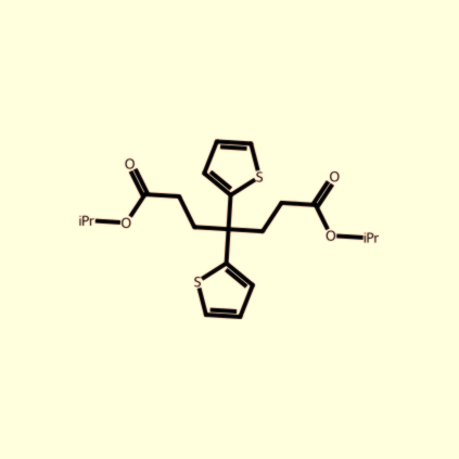 CC(C)OC(=O)CCC(CCC(=O)OC(C)C)(c1cccs1)c1cccs1